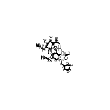 CC(=O)OC1[C@H](CCc2ccccc2)CC(N=[N+]=[N-])[C@@H](O[C@H]2OC(C(C)C)[C@@H](C)[C@H](C)C2N=[N+]=[N-])[C@@H]1O